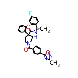 Cc1noc(-c2ccc(C(=O)N3CCC(C(=O)N[C@@H](C)c4ccc(F)cc4)(c4ccccc4)CC3)cc2)n1